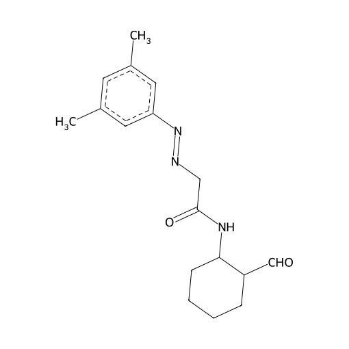 Cc1cc(C)cc(/N=N/CC(=O)NC2CCCCC2C=O)c1